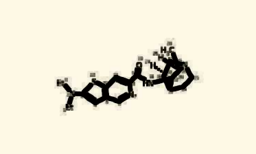 CCN(CC)c1cc2cnc(C(=O)N[C@@H]3C4CCN(CC4)[C@H]3C)cc2s1